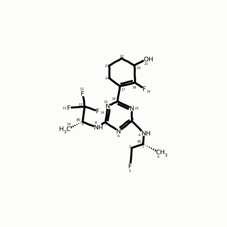 C[C@H](CF)Nc1nc(N[C@H](C)C(F)(F)F)nc(C2=C(F)C(O)CCC2)n1